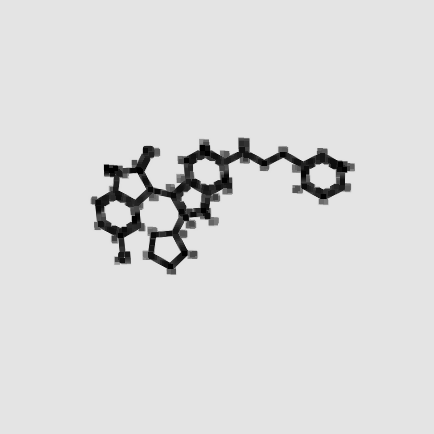 O=C1Nc2ccc(Cl)cc2C1c1c2cnc(NCCc3cccnc3)nc2nn1C1CCCC1